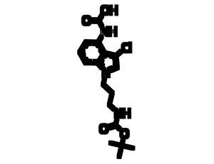 CC(C)(C)OC(=O)NCCCn1cc(Cl)c2c(NC(=O)O)cccc21